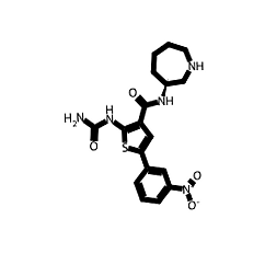 NC(=O)Nc1sc(-c2cccc([N+](=O)[O-])c2)cc1C(=O)N[C@H]1CCCCNC1